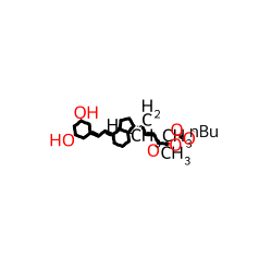 C=C(/C=C/C(=O)C(C)(C)OC(=O)OCCCC)[C@H]1CC[C@H]2/C(=C/C=C3C[C@@H](O)C[C@H](O)C3)CCC[C@]12C